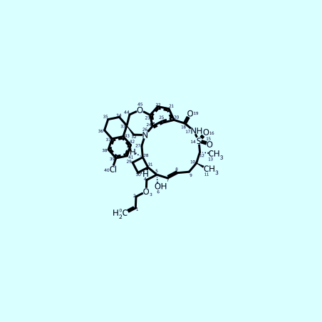 C=CCOC[C@]1(O)/C=C/C[C@H](C)[C@@H](C)S(=O)(=O)NC(=O)c2ccc3c(c2)N(C[C@@H]2CC[C@H]21)C[C@@]1(CCCc2cc(Cl)ccc21)CO3